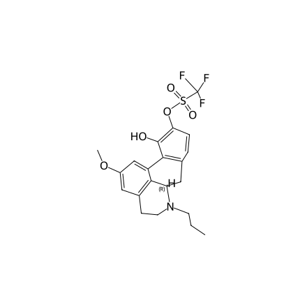 CCCN1CCc2cc(OC)cc3c2[C@H]1Cc1ccc(OS(=O)(=O)C(F)(F)F)c(O)c1-3